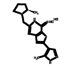 Cc1[nH]ncc1-c1cc2nc(CN3CCC[C@@H]3C)[nH]c(=O)c2s1.Cl.Cl